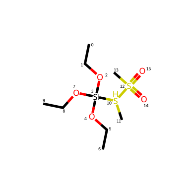 CCO[Si](OCC)(OCC)[SH](C)S(C)(=O)=O